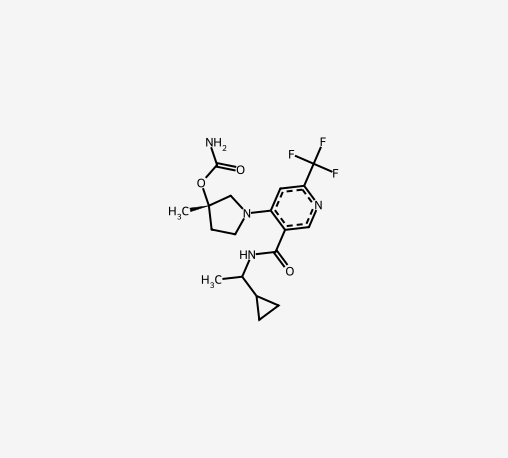 CC(NC(=O)c1cnc(C(F)(F)F)cc1N1CC[C@](C)(OC(N)=O)C1)C1CC1